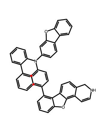 C1=Cc2c(ccc3c2oc2cccc(-c4ccc(N(c5ccc6c(c5)oc5ccccc56)c5ccccc5-c5ccccc5)cc4)c23)CN1